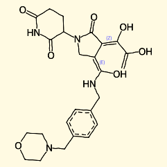 C=C(O)/C(O)=C1/C(=O)N(C2CCC(=O)NC2=O)C/C1=C(/O)NCc1ccc(CN2CCOCC2)cc1